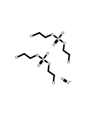 O=P([O-])(OCCCl)OCCCl.O=P([O-])(OCCCl)OCCCl.[O]=[V+2]